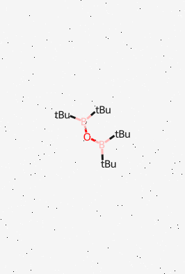 CC(C)(C)B(OB(C(C)(C)C)C(C)(C)C)C(C)(C)C